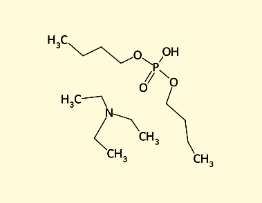 CCCCOP(=O)(O)OCCCC.CCN(CC)CC